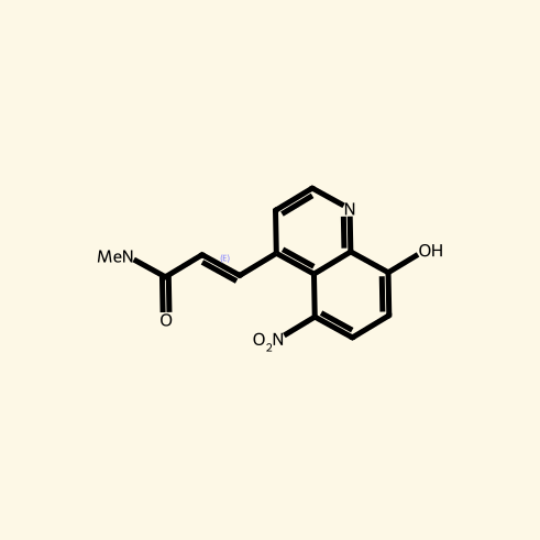 CNC(=O)/C=C/c1ccnc2c(O)ccc([N+](=O)[O-])c12